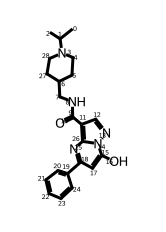 CC(C)N1CCC(CNC(=O)c2cnn3c(O)cc(-c4ccccc4)nc23)CC1